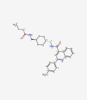 CCOC(=O)NC[C@H]1CC[C@H](CNC(=O)c2cc(-c3ccc(C)cc3)nc3ccccc23)CC1